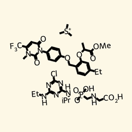 CCNc1nc(Cl)nc(NC(C)C)n1.CCc1ccc(COc2ccc(-n3c(=O)cc(C(F)(F)F)n(C)c3=O)cc2)c(OC(C)C(=O)OC)c1.C[S+](C)C.O=C(O)CNCP(=O)([O-])O